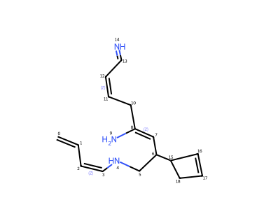 C=C/C=C\NCC(/C=C(\N)C/C=C\C=N)C1C=CC1